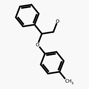 Cc1ccc(OC(C[O])c2ccccc2)cc1